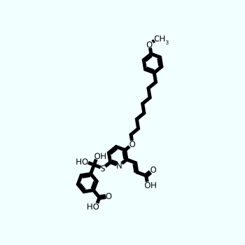 COc1ccc(CCCCCCCCOc2ccc(SC(O)(O)c3cccc(C(=O)O)c3)nc2C=CC(=O)O)cc1